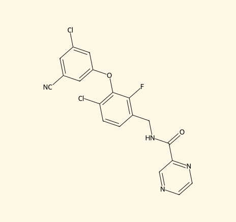 N#Cc1cc(Cl)cc(Oc2c(Cl)ccc(CNC(=O)c3cnccn3)c2F)c1